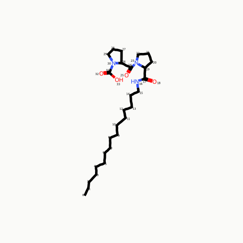 CCCCCCCCCCCCCCCCNC(=O)C1CCCN1C(=O)C1CCCN1C(=O)O